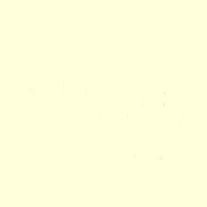 COc1cccc(C(CCCO)OC(CCCO)c2cccc(OC)c2)c1